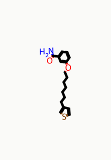 NC(=O)c1cccc(OCCCCCCCc2ccsc2)c1